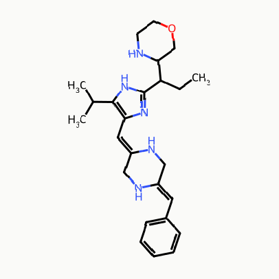 CCC(c1nc(C=C2CNC(=Cc3ccccc3)CN2)c(C(C)C)[nH]1)C1COCCN1